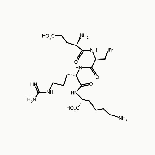 CC(C)C[C@H](NC(=O)[C@H](N)CCC(=O)O)C(=O)N[C@@H](CCCNC(=N)N)C(=O)N[C@H](CCCCN)C(=O)O